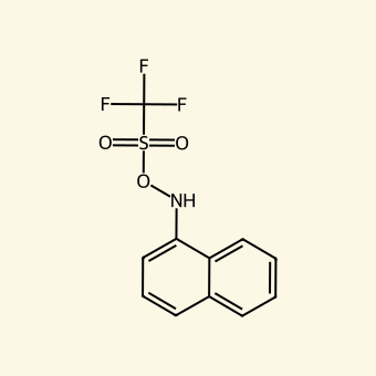 O=S(=O)(ONc1cccc2ccccc12)C(F)(F)F